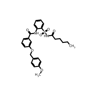 CCCCCC(=O)NS(=O)(=O)c1ccccc1NC(=O)c1cccc(OCc2ccc(OC)cc2)c1